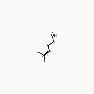 C/C(I)=C\CCO